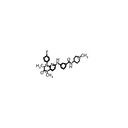 C[C@H]1C(=O)N(C)c2ccc(Nc3cccc(C(=O)NC4CCN(C)CC4)c3)nc2N1c1ccc(F)cc1